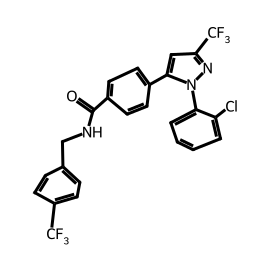 O=C(NCc1ccc(C(F)(F)F)cc1)c1ccc(-c2cc(C(F)(F)F)nn2-c2ccccc2Cl)cc1